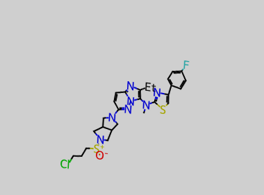 CCc1nc2ccc(N3CC4CN([S+]([O-])CCCCl)CC4C3)nn2c1N(C)c1nc(-c2ccc(F)cc2)cs1